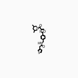 CC1CC(C)CN(C(=O)c2coc(-c3ccc(CNC(=O)Cc4ccsc4)cc3)n2)C1